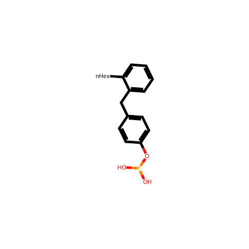 CCCCCCc1ccccc1Cc1ccc(OP(O)O)cc1